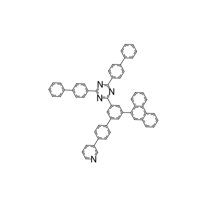 c1ccc(-c2ccc(-c3nc(-c4ccc(-c5ccccc5)cc4)nc(-c4cc(-c5ccc(-c6cccnc6)cc5)cc(-c5cc6ccccc6c6ccccc56)c4)n3)cc2)cc1